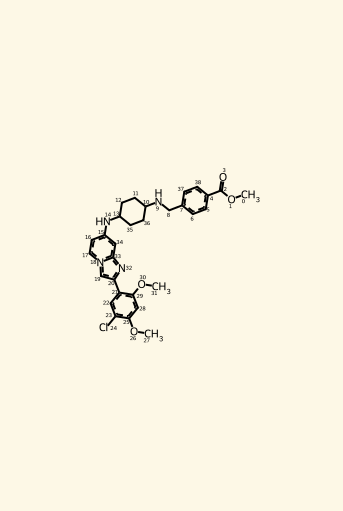 COC(=O)c1ccc(CNC2CCC(Nc3ccn4cc(-c5cc(Cl)c(OC)cc5OC)nc4c3)CC2)cc1